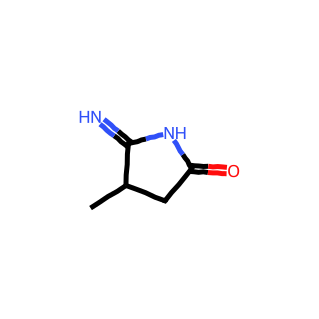 CC1CC(=O)NC1=N